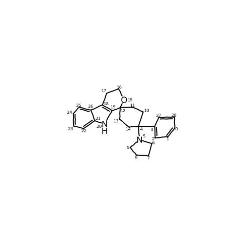 c1ccc(C2(N3CCCC3)CCC3(CC2)OCCc2c3[nH]c3ccccc23)cc1